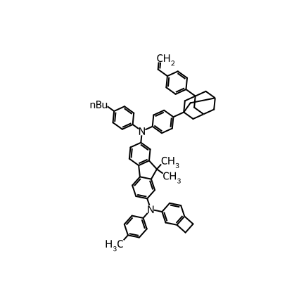 C=Cc1ccc(C23CC4CC(C2)CC(c2ccc(N(c5ccc(CCCC)cc5)c5ccc6c(c5)C(C)(C)c5cc(N(c7ccc(C)cc7)c7ccc8c(c7)CC8)ccc5-6)cc2)(C4)C3)cc1